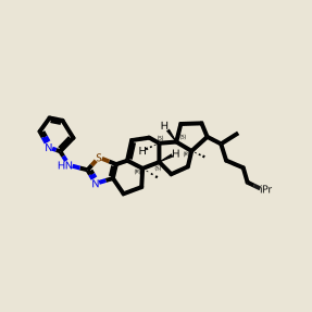 CC(C)CCCC(C)C1CC[C@H]2[C@@H]3CC=C4c5sc(Nc6ccccn6)nc5CC[C@]4(C)[C@H]3CC[C@]12C